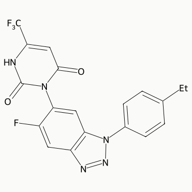 CCc1ccc(-n2nnc3cc(F)c(-n4c(=O)cc(C(F)(F)F)[nH]c4=O)cc32)cc1